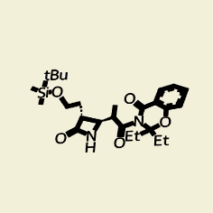 CCC1(CC)Oc2ccccc2C(=O)N1C(=O)C(C)[C@H]1NC(=O)[C@@H]1CCO[Si](C)(C)C(C)(C)C